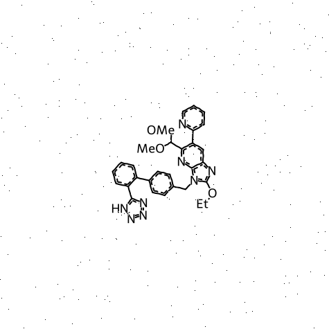 CCOc1nc2cc(-c3ccccn3)c(C(OC)OC)nc2n1Cc1ccc(-c2ccccc2-c2nnn[nH]2)cc1